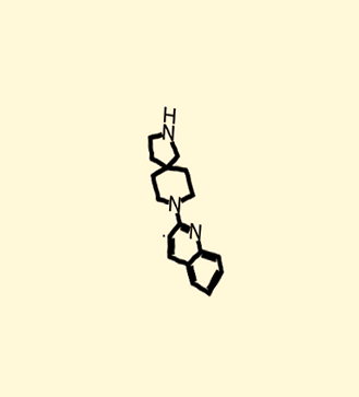 [c]1cc2ccccc2nc1N1CCC2(CCNC2)CC1